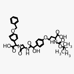 CC(C)(C)OC(=O)NC(CCOc1ccc(C(O)C(=O)NC2CN(C(C(=O)O)c3ccc(OCc4ccccc4)cc3)C2=O)cc1)C(=O)O